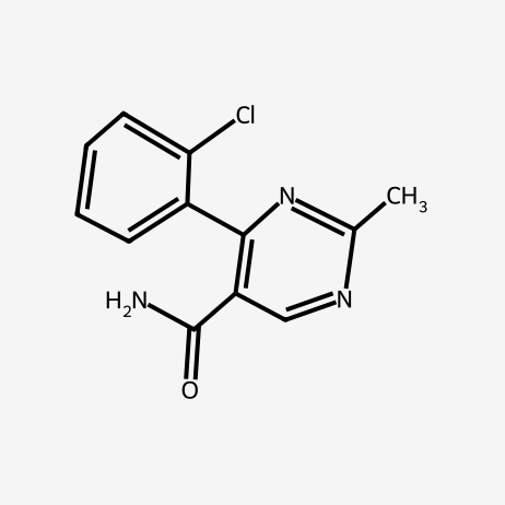 Cc1ncc(C(N)=O)c(-c2ccccc2Cl)n1